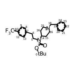 CC(C)(C)OC(=O)N(CCc1ccc(C(F)(F)F)cc1)C1CCN(Cc2ccccc2)CC1